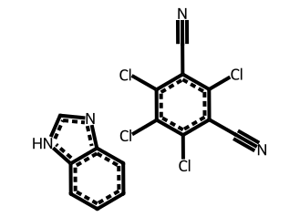 N#Cc1c(Cl)c(Cl)c(Cl)c(C#N)c1Cl.c1ccc2[nH]cnc2c1